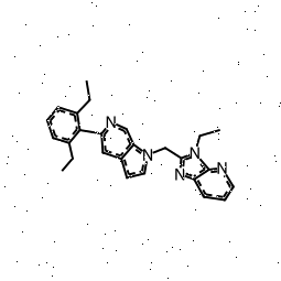 CCc1cccc(CC)c1-c1cc2ccn(Cc3nc4cccnc4n3CC)c2cn1